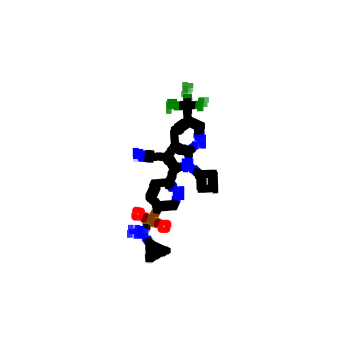 N#Cc1c(-c2ccc(S(=O)(=O)NC3CC3)cn2)n(C2=CC=C2)c2ncc(C(F)(F)F)cc12